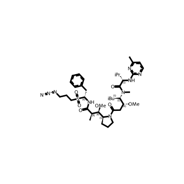 CC[C@H](C)[C@@H]([C@@H](CC(=O)N1CCC[C@H]1[C@H](OC)[C@@H](C)C(=O)N[C@@H](Cc1ccccc1)S(=O)(=O)CCCN=[N+]=[N-])OC)N(C)C(=O)[C@@H](Nc1nccc(C)n1)C(C)C